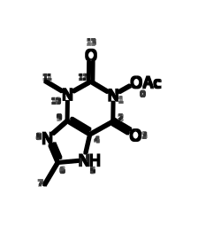 CC(=O)On1c(=O)c2[nH]c(C)nc2n(C)c1=O